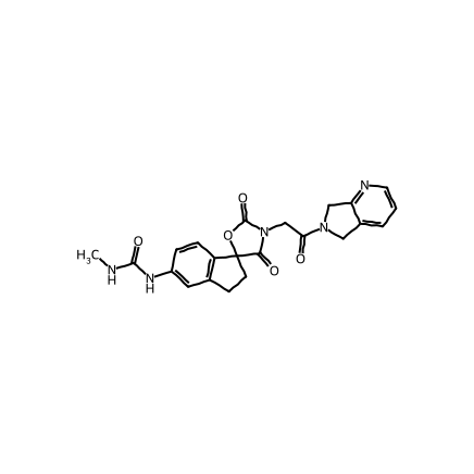 CNC(=O)Nc1ccc2c(c1)CCC21OC(=O)N(CC(=O)N2Cc3cccnc3C2)C1=O